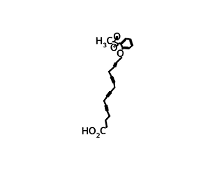 CS(=O)(=O)c1ccccc1OCC#CCC#CCC#CCC#CCCCC(=O)O